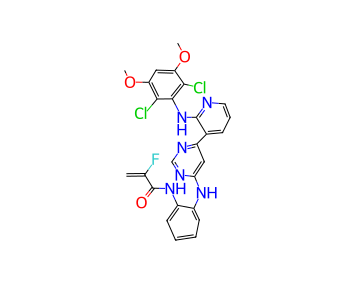 C=C(F)C(=O)Nc1ccccc1Nc1cc(-c2cccnc2Nc2c(Cl)c(OC)cc(OC)c2Cl)ncn1